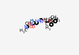 Cc1nn(C)cc1S(=O)(=O)NC(=O)c1ccc(-n2ccc(OCC(C)(C)CO[Si](c3ccccc3)(c3ccccc3)C(C)(C)C)n2)nc1Cl